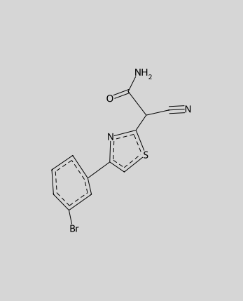 N#CC(C(N)=O)c1nc(-c2cccc(Br)c2)cs1